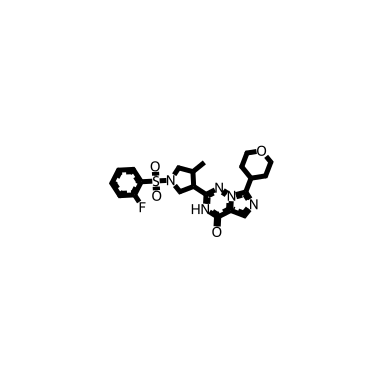 CC1CN(S(=O)(=O)c2ccccc2F)CC1c1nn2c(C3CCOCC3)ncc2c(=O)[nH]1